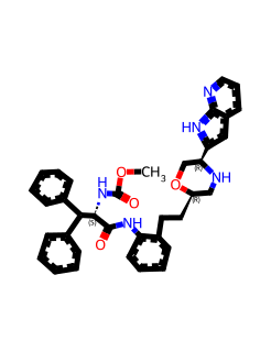 COC(=O)N[C@H](C(=O)Nc1ccccc1CC[C@@H]1CN[C@H](c2cc3cccnc3[nH]2)CO1)C(c1ccccc1)c1ccccc1